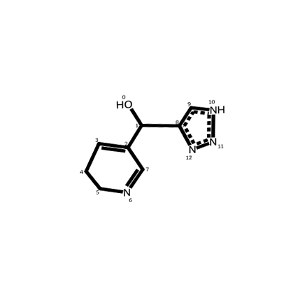 OC(C1=CCCN=C1)c1c[nH]nn1